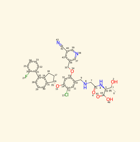 C[C@@H](O)[C@H](NC(=O)CNCc1cc(Cl)c(O[C@H]2CCc3c(-c4ccccc4F)cccc32)cc1OCc1cncc(C#N)c1)C(=O)O